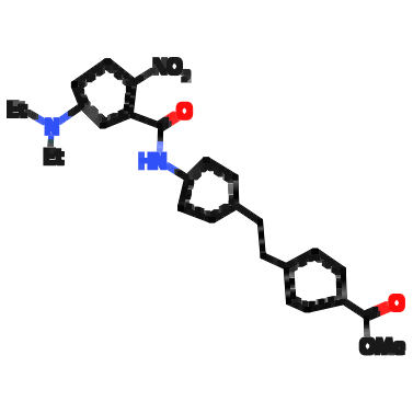 CCN(CC)c1ccc([N+](=O)[O-])c(C(=O)Nc2ccc(CCc3ccc(C(=O)OC)cc3)cc2)c1